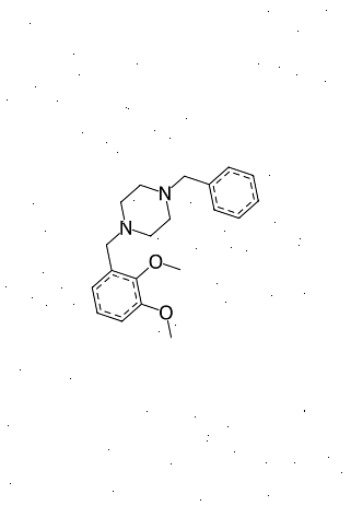 COc1cccc(CN2CCN(Cc3ccccc3)CC2)c1OC